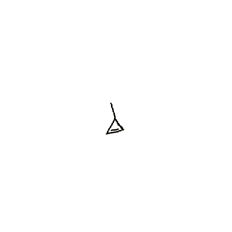 CC1C=C1